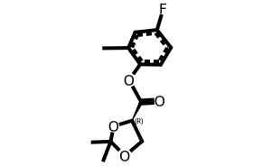 Cc1cc(F)ccc1OC(=O)[C@H]1COC(C)(C)O1